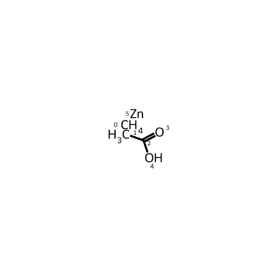 C.CC(=O)O.[Zn]